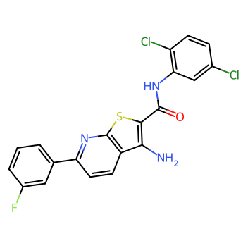 Nc1c(C(=O)Nc2cc(Cl)ccc2Cl)sc2nc(-c3cccc(F)c3)ccc12